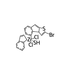 [SH][Zr]([Cl])([Cl])([c]1cccc2c1C1C=C(Br)SC1=C2)[CH]1C=Cc2ccccc21